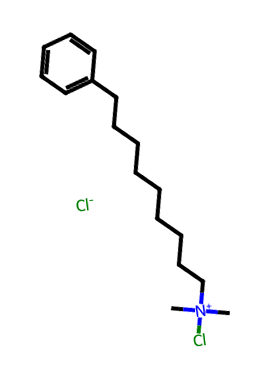 C[N+](C)(Cl)CCCCCCCCCc1ccccc1.[Cl-]